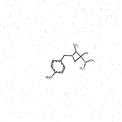 CCCC1(N(C)C)CN(Cc2ccc(OC)cc2)C1C